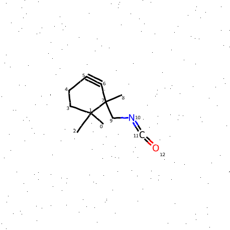 CC1(C)CCC#CC1(C)CN=C=O